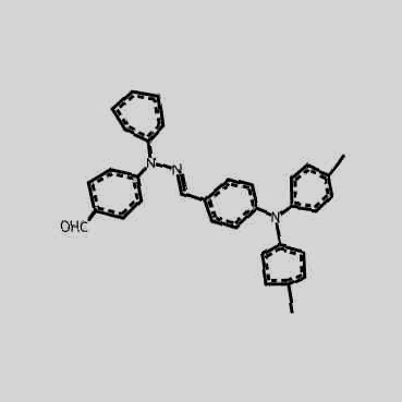 Cc1ccc(N(c2ccc(C)cc2)c2ccc(/C=N/N(c3ccccc3)c3ccc(C=O)cc3)cc2)cc1